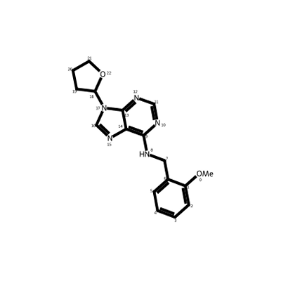 COc1ccccc1CNc1ncnc2c1ncn2C1CCCO1